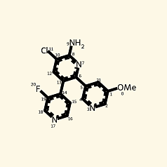 COc1cncc(-c2nc(N)c(Cl)cc2-c2ccncc2F)c1